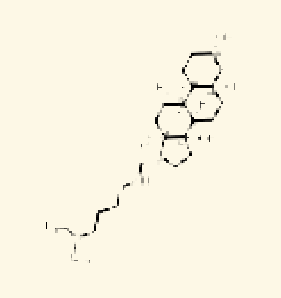 CN(C)CCCONC[C@H]1CC[C@]2(O)[C@@H]3CC[C@@H]4C[C@@H](O)CC[C@]4(C)[C@H]3CC[C@]12C